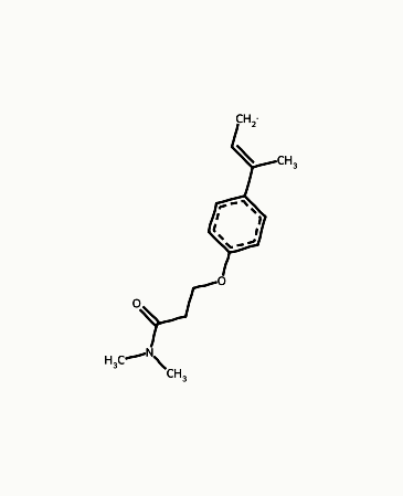 [CH2]C=C(C)c1ccc(OCCC(=O)N(C)C)cc1